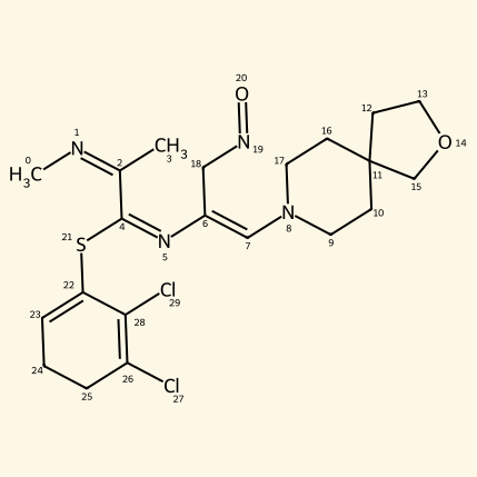 C\N=C(C)/C(=N\C(=C\N1CCC2(CCOC2)CC1)CN=O)SC1=CCCC(Cl)=C1Cl